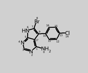 Nc1ncnc2[nH]c(Br)c(-c3ccc(Cl)cc3)c12